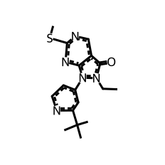 CCn1c(=O)c2cnc(SC)nc2n1-c1ccnc(C(C)(C)C)c1